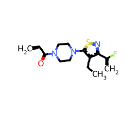 C=CC(=O)N1CCN(c2snc(C(=C)F)c2CC)CC1